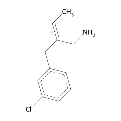 C/C=C(\CN)Cc1cccc(Cl)c1